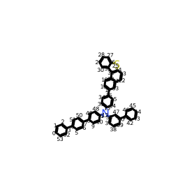 c1ccc(-c2ccc(-c3ccc(N(c4ccc(-c5ccc6c(ccc7sc8ccccc8c76)c5)cc4)c4cccc(-c5ccccc5)c4)cc3)cc2)cc1